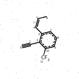 C#Cc1c(/C=C\C)cccc1C(F)(F)F